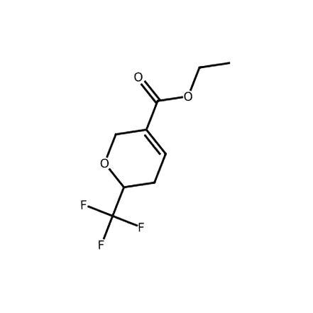 CCOC(=O)C1=CCC(C(F)(F)F)OC1